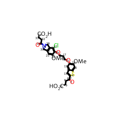 COc1cc2sc(C(=O)CCC(=O)O)cc2cc1OCCCOc1c(OC)cc2c(c1Cl)CN(C(=O)CCC(=O)O)C2